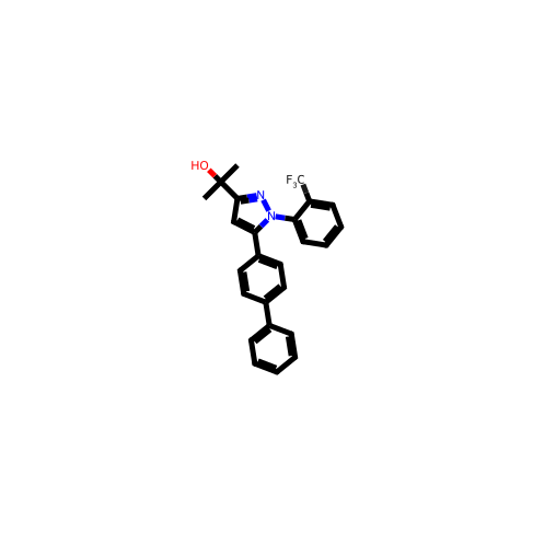 CC(C)(O)c1cc(-c2ccc(-c3ccccc3)cc2)n(-c2ccccc2C(F)(F)F)n1